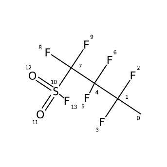 CC(F)(F)C(F)(F)C(F)(F)S(=O)(=O)F